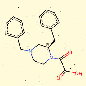 O=C(O)C(=O)N1CCN(Cc2ccccc2)C[C@H]1Cc1ccccc1